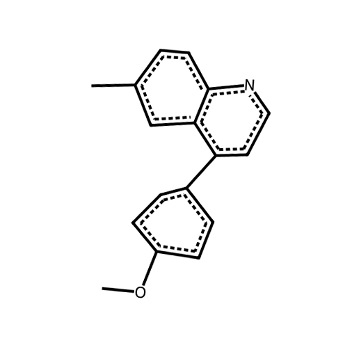 COc1ccc(-c2ccnc3ccc(C)cc23)cc1